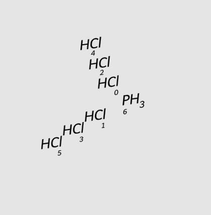 Cl.Cl.Cl.Cl.Cl.Cl.P